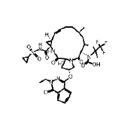 CCn1nc(O[C@@H]2C[C@H]3C(=O)N[C@]4(C(=O)NS(=O)(=O)C5CC5)C[C@H]4/C=C\CC[C@@H](C)C[C@@H](C)[C@H](N(C(=O)O)C(C)(C)C(F)(F)F)C(=O)N3C2)c2ccccc2c1=O